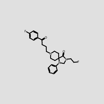 O=C(CCCN1CCC2(CC1)C(=O)N(CCF)CN2c1ccccc1)c1ccc(F)cc1